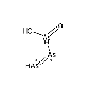 O=[AsH](O)[As]=[AsH]